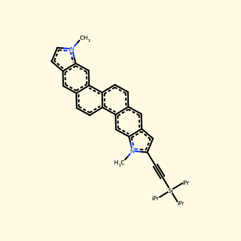 CC(C)[Si](C#Cc1cc2cc3ccc4c5cc6c(ccn6C)cc5ccc4c3cc2n1C)(C(C)C)C(C)C